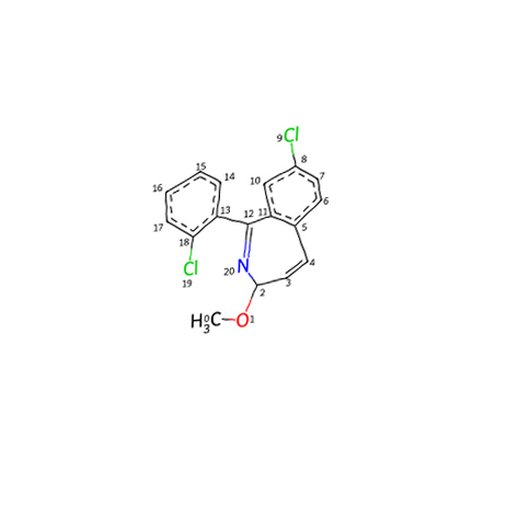 COC1C=Cc2ccc(Cl)cc2C(c2ccccc2Cl)=N1